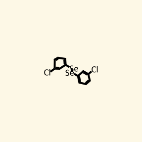 Clc1cccc([Se][Se]c2cccc(Cl)c2)c1